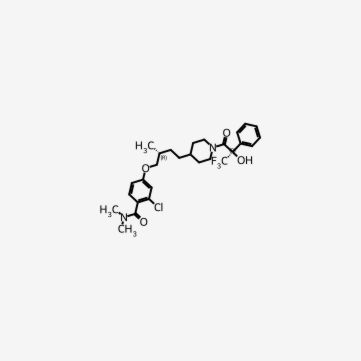 C[C@H](CCC1CCN(C(=O)[C@](O)(c2ccccc2)C(F)(F)F)CC1)COc1ccc(C(=O)N(C)C)c(Cl)c1